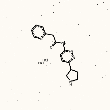 Cl.Cl.O=C(Cc1ccccn1)Nc1ccc(C2CCNC2)nn1